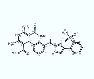 COC(=O)C1=C(C)NC(C)=C(C(=O)OC)C1c1cccc(Nc2nc(-c3ccccc3S(N)(=O)=O)cs2)c1